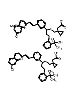 CC(C)(O)c1ccccc1CCC(SCC1(CC(=O)[O-])CC1)c1cccc(C=Cc2ccc3ccc(Cl)cc3n2)c1.CC(C)(O)c1ccccc1CCC(SCC1(CC(=O)[O-])CC1)c1cccc(C=Cc2ccc3ccc(Cl)cc3n2)c1.[Mg+2]